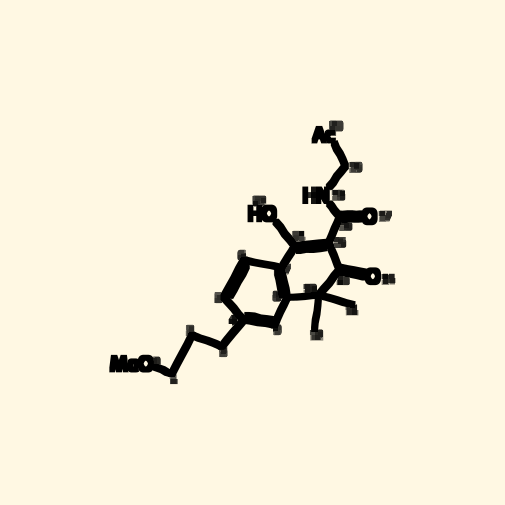 COCCCc1ccc2c(c1)C(C)(C)C(=O)C(C(=O)NCC(C)=O)=C2O